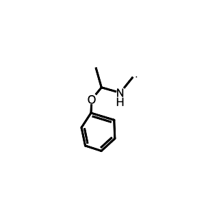 [CH2]NC(C)Oc1ccccc1